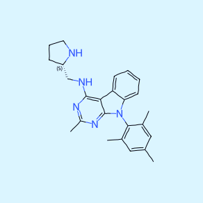 Cc1cc(C)c(-n2c3ccccc3c3c(NC[C@@H]4CCCN4)nc(C)nc32)c(C)c1